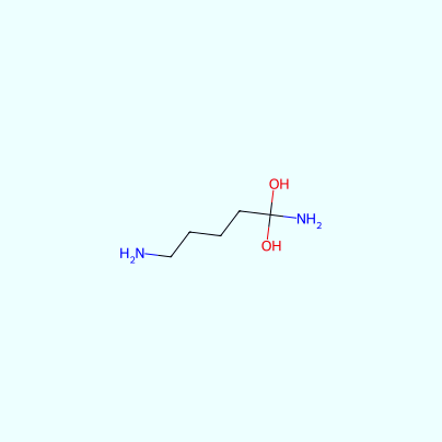 NCCCCC(N)(O)O